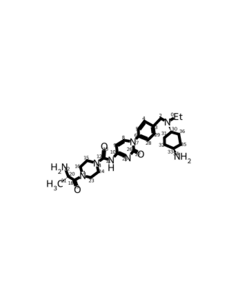 CCN(Cc1ccc(-n2ccc(NC(=O)N3CCN(C(=O)[C@H](C)N)CC3)nc2=O)cc1)[C@H]1CC[C@H](N)CC1